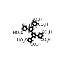 O=C(O)c1cc(C(=O)O)cc(-c2cc(-c3cc(C(=O)O)cc(C(=O)O)c3)cc(-c3cc(-c4cc(C(=O)O)cc(C(=O)O)c4)cc(-c4cc(C(=O)O)cc(C(=O)O)c4)c3)c2)c1